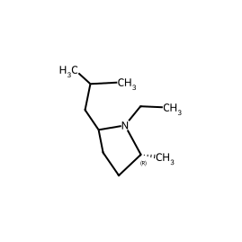 CCN1C(CC(C)C)CC[C@H]1C